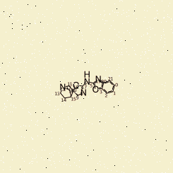 c1ccc2oc(NC3=NC[C@@]4(CN5CCC4CC5)O3)nc2c1